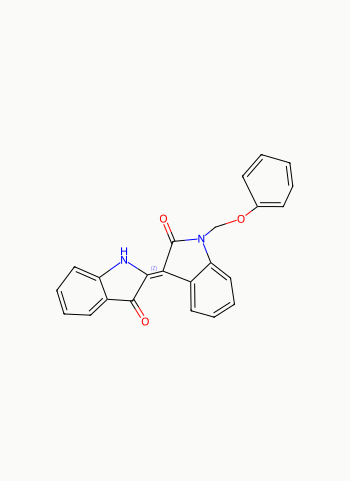 O=C1/C(=C2/C(=O)N(COc3ccccc3)c3ccccc32)Nc2ccccc21